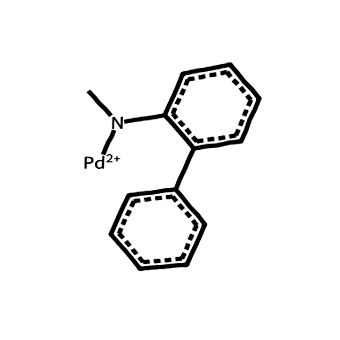 C[N]([Pd+2])c1ccccc1-c1ccccc1